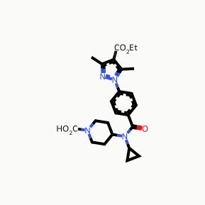 CCOC(=O)c1c(C)nn(-c2ccc(C(=O)N(C3CC3)C3CCN(C(=O)O)CC3)cc2)c1C